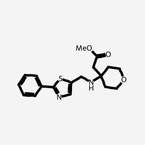 COC(=O)CC1(NCc2cnc(-c3ccccc3)s2)CCOCC1